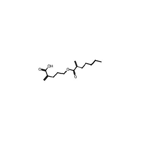 C=C(CCCOC(=O)C(=C)CCCCC)C(=O)O